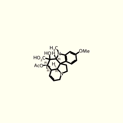 CC[C@]12C=CCN3CCC4(c5ccc(OC)cc5N(C)[C@H]4C(O)(C(=O)O)[C@@H]1OC(C)=O)[C@@H]32